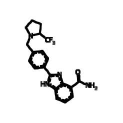 NC(=O)c1cccc2[nH]c(-c3ccc(CN4CCCC4C(F)(F)F)cc3)nc12